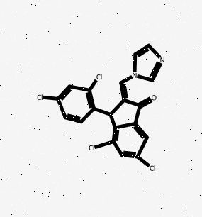 O=C1C(=Cn2ccnc2)C(c2ccc(Cl)cc2Cl)c2c(Cl)cc(Cl)cc21